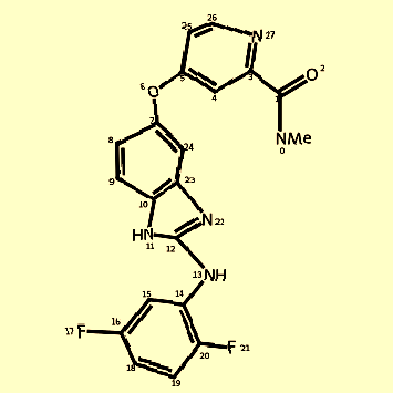 CNC(=O)c1cc(Oc2ccc3[nH]c(Nc4cc(F)ccc4F)nc3c2)ccn1